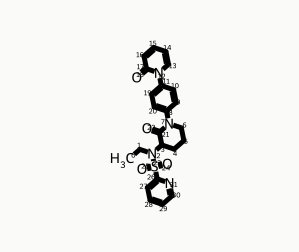 CCN(C1CCCN(c2ccc(-n3ccccc3=O)cc2)C1=O)S(=O)(=O)c1ccccn1